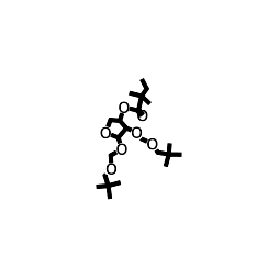 CCC(C)(C)C(=O)OC1COC(OCOCC(C)(C)C)C1OCOCC(C)(C)C